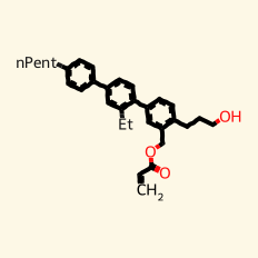 C=CC(=O)OCc1cc(-c2ccc(-c3ccc(CCCCC)cc3)cc2CC)ccc1CCCO